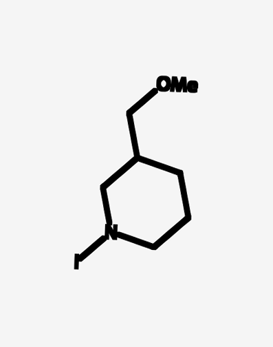 COCC1CCCN(I)C1